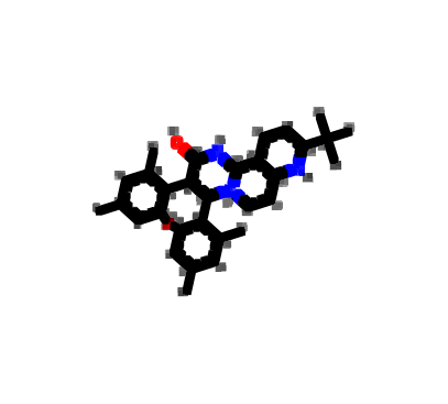 Cc1cc(C)c(-c2c(-c3c(C)cc(C)cc3C)n3ccc4nc(C(C)(C)C)ccc4c3nc2=O)c(C)c1